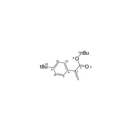 C=C(C(=O)OCCCC)c1ccc(C(C)(C)C)cc1